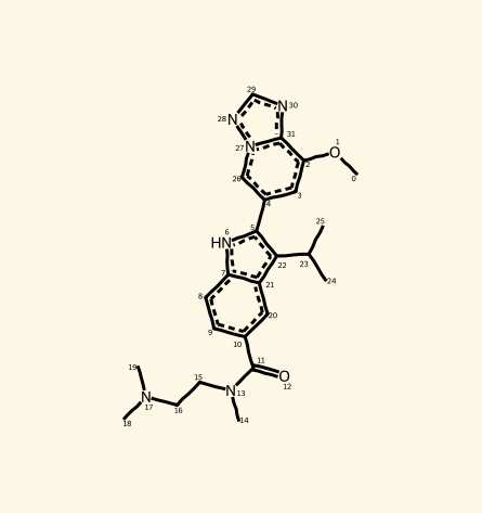 COc1cc(-c2[nH]c3ccc(C(=O)N(C)CCN(C)C)cc3c2C(C)C)cn2ncnc12